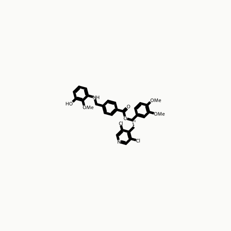 COc1ccc([C@H](Cc2c(Cl)cncc2Cl)OC(=O)c2ccc(CNc3cccc(O)c3OC)cc2)cc1OC